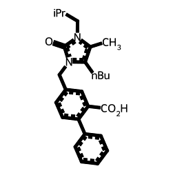 CCCCc1c(C)n(CC(C)C)c(=O)n1Cc1ccc(-c2ccccc2)c(C(=O)O)c1